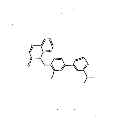 CN(C)c1cc(-c2ccc(Cn3c(=O)cnc4cccnc43)c(F)c2)ccn1